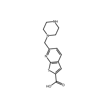 O=C(O)c1cc2ccc(CN3CCNCC3)nc2s1